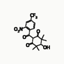 CC1(C)C(=O)C(C(=O)c2ccc(C(F)(F)F)cc2[N+](=O)[O-])C(=O)C(C)(C)C1O